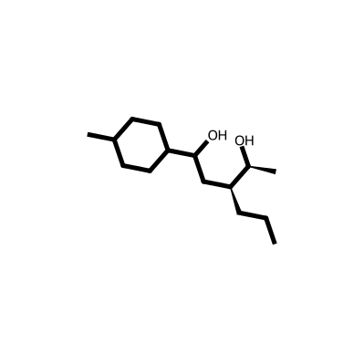 CCC[C@@H](CC(O)C1CCC(C)CC1)[C@H](C)O